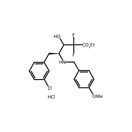 CCOC(=O)C(F)(F)C(O)[C@H](Cc1cccc(Cl)c1)NCc1ccc(OC)cc1.Cl